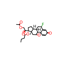 CCCC(=O)O[C@]1(C(=O)COC(C)=O)CC[C@H]2[C@@H]3CC(F)C4=CC(=O)C=C[C@]4(C)[C@]34OC4C[C@@]21C